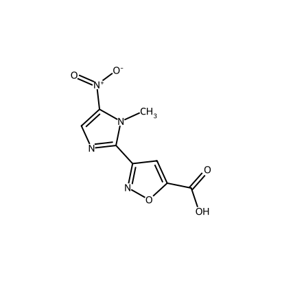 Cn1c([N+](=O)[O-])cnc1-c1cc(C(=O)O)on1